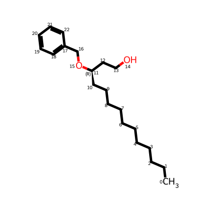 CCCCCCCCCCC[C@H](CCO)OCc1ccccc1